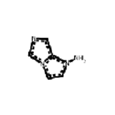 Nn1ccn2cncc12